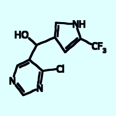 OC(c1c[nH]c(C(F)(F)F)c1)c1cncnc1Cl